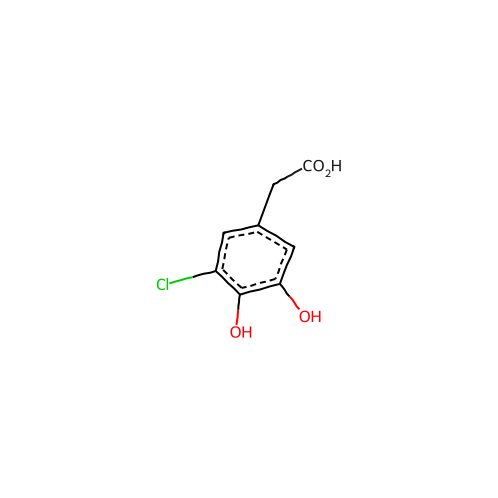 O=C(O)Cc1cc(O)c(O)c(Cl)c1